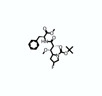 COC(=O)[C@H](Cc1ccccc1)NC(=O)[C@H](C)[C@@H](OC)C1CC(F)CN1C(=O)OC(C)(C)C